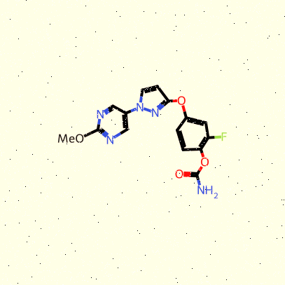 COc1ncc(-n2ccc(Oc3ccc(OC(N)=O)c(F)c3)n2)cn1